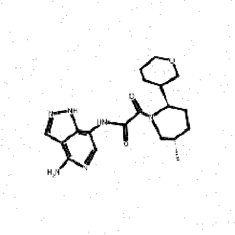 C[C@H]1CC[C@H](C2CCCOC2)N(C(=O)C(=O)Nc2cnc(N)c3cn[nH]c23)C1